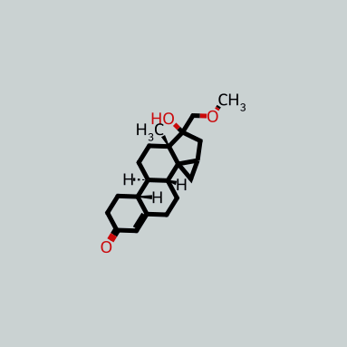 COCC1(O)CC2CC23[C@@H]2CCC4=CC(=O)CC[C@@H]4[C@H]2CC[C@]13C